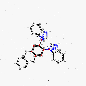 N#Cc1cc2c(cc1-n1cnc3ccccc31)C1c3ccccc3C2c2cc(-n3cnc4ccccc43)c(C#N)cc21